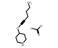 CCCCC#COC1CCNCC1.O=C(Cl)Cl